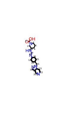 O=C(O)N1CCC[C@@H](NC=Nc2ccc(Cn3ncc4cnccc43)cc2)C1